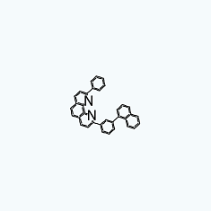 c1ccc(-c2ccc3ccc4ccc(-c5cccc(-c6cccc7ccccc67)c5)nc4c3n2)cc1